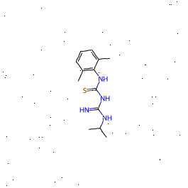 Cc1cccc(C)c1NC(=S)NC(=N)NC(C)C